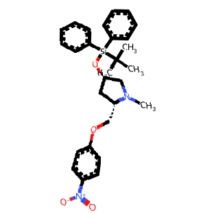 CN1C[C@H](O[Si](c2ccccc2)(c2ccccc2)C(C)(C)C)C[C@H]1COc1ccc([N+](=O)[O-])cc1